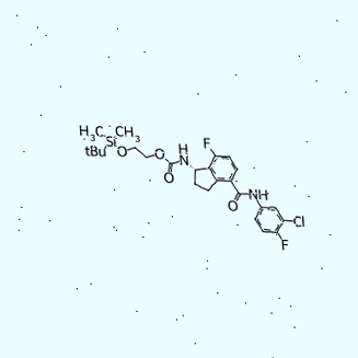 CC(C)(C)[Si](C)(C)OCCOC(=O)N[C@H]1CCc2c(C(=O)Nc3ccc(F)c(Cl)c3)ccc(F)c21